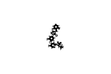 CC1(OC(F)(F)F)CN(c2cc(Oc3ccc(-n4ncn(Cc5c(F)cccc5F)c4=O)cc3F)c(F)cn2)C1